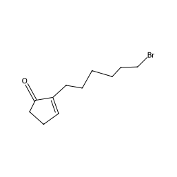 O=C1CCC=C1CCCCCCBr